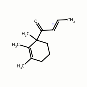 C/C=C/C(=O)C1(C)CCCC(C)=C1C